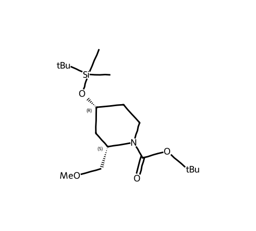 COC[C@@H]1C[C@H](O[Si](C)(C)C(C)(C)C)CCN1C(=O)OC(C)(C)C